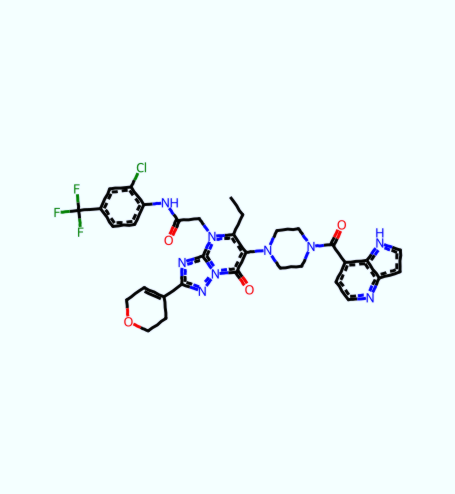 CCc1c(N2CCN(C(=O)c3ccnc4cc[nH]c34)CC2)c(=O)n2nc(C3=CCOCC3)nc2n1CC(=O)Nc1ccc(C(F)(F)F)cc1Cl